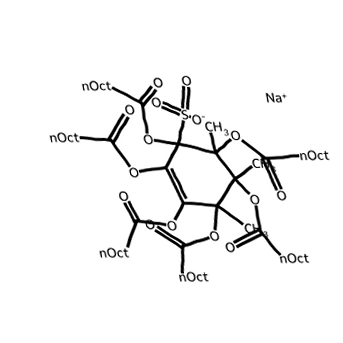 CCCCCCCCC(=O)OC1=C(OC(=O)CCCCCCCC)C(OC(=O)CCCCCCCC)(S(=O)(=O)[O-])C(C)(OC(=O)CCCCCCCC)C(C)(OC(=O)CCCCCCCC)C1(C)OC(=O)CCCCCCCC.[Na+]